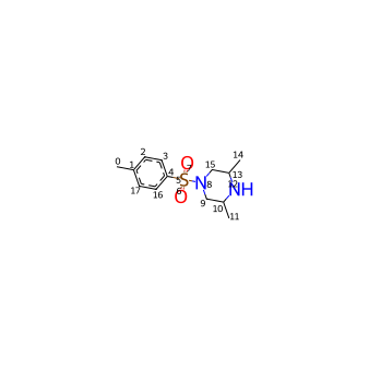 Cc1ccc(S(=O)(=O)N2CC(C)NC(C)C2)cc1